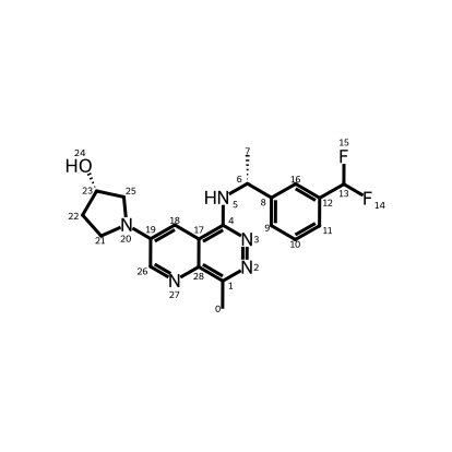 Cc1nnc(N[C@H](C)c2cccc(C(F)F)c2)c2cc(N3CC[C@H](O)C3)cnc12